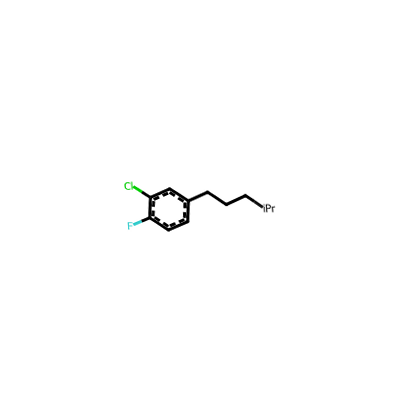 CC(C)CCCc1ccc(F)c(Cl)c1